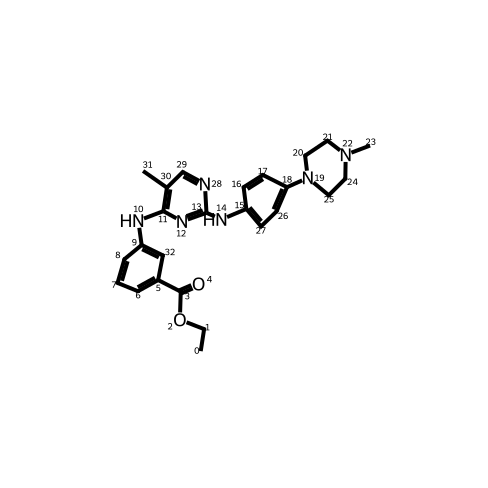 CCOC(=O)c1cccc(Nc2nc(Nc3ccc(N4CCN(C)CC4)cc3)ncc2C)c1